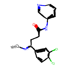 CO/N=C(\CCC(=O)Nc1cccnc1)c1ccc(Cl)c(Cl)c1